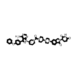 Nc1ncnc2c1c(-c1ccc(Oc3ccccc3)cc1)nn2[C@@H]1CCCN(C(=O)N2CCC(N3CCN(c4ccc5c(c4)CN(C4CCC(=O)NC4=O)C5=O)CC3)CC2)C1